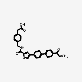 CCC(=O)c1ccc(-c2ccc(-c3csc(C(=O)NCc4ccc(CC(=O)O)cc4)c3)cc2)cc1